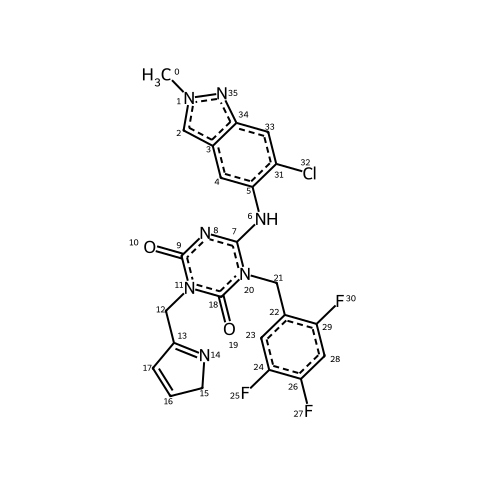 Cn1cc2cc(Nc3nc(=O)n(CC4=NCC=C4)c(=O)n3Cc3cc(F)c(F)cc3F)c(Cl)cc2n1